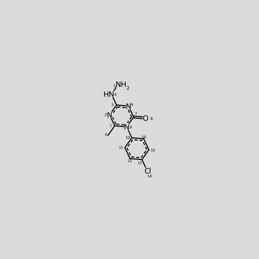 Cc1nc(NN)nc(=O)n1-c1ccc(Cl)cc1